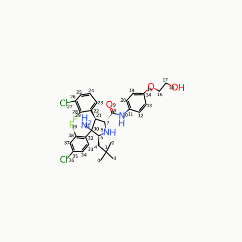 CC(C)(C)C[C@@H]1N[C@@H](C(=O)Nc2ccc(OCCO)cc2)[C@H](c2cccc(Cl)c2F)[C@@]1(N)c1ccc(Cl)cc1F